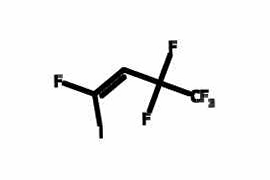 FC(I)=CC(F)(F)C(F)(F)F